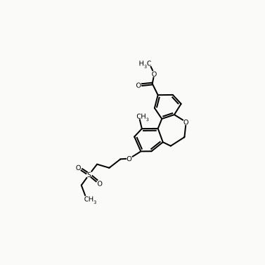 CCS(=O)(=O)CCCOc1cc(C)c2c(c1)CCOc1ccc(C(=O)OC)cc1-2